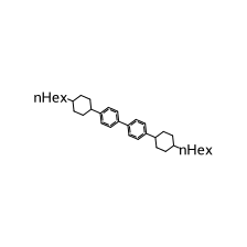 CCCCCCC1CCC(c2ccc(-c3ccc(C4CCC(CCCCCC)CC4)cc3)cc2)CC1